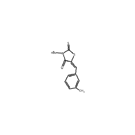 CCCCN1C(=O)/C(=C\c2cccc(C)c2)SC1=S